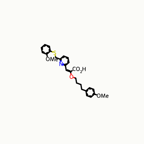 COc1ccc(CCCCO/C(=C/c2cccc(CSc3ccccc3OC)n2)C(=O)O)cc1